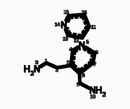 NCCc1cnccc1CN.c1ccncc1